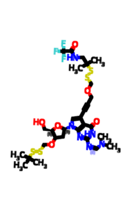 CN(C)/C=N\c1nc2c(c(C#CCOCSSC(C)(C)CNC(=O)C(F)(F)F)cn2[C@H]2CC(OCSSC(C)(C)C)[C@@H](CO)O2)c(=O)[nH]1